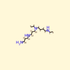 CCNCCCCN(CC)CCCNCCCN